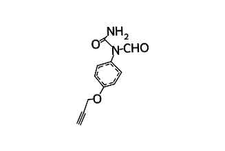 C#CCOc1ccc(N(C=O)C(N)=O)cc1